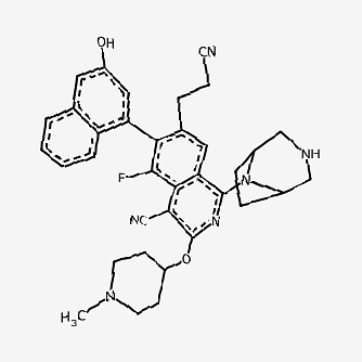 CN1CCC(Oc2nc(N3C4CCC3CNC4)c3cc(CCC#N)c(-c4cc(O)cc5ccccc45)c(F)c3c2C#N)CC1